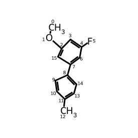 COc1cc(F)cc(-c2ccc(C)cc2)c1